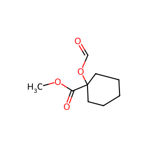 COC(=O)C1(OC=O)CCCCC1